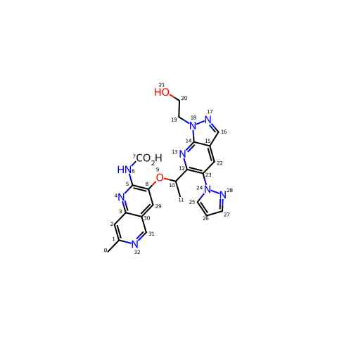 Cc1cc2nc(NC(=O)O)c(OC(C)c3nc4c(cnn4CCO)cc3-n3cccn3)cc2cn1